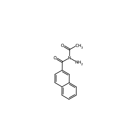 CC(=O)N(N)C(=O)c1ccc2ccccc2c1